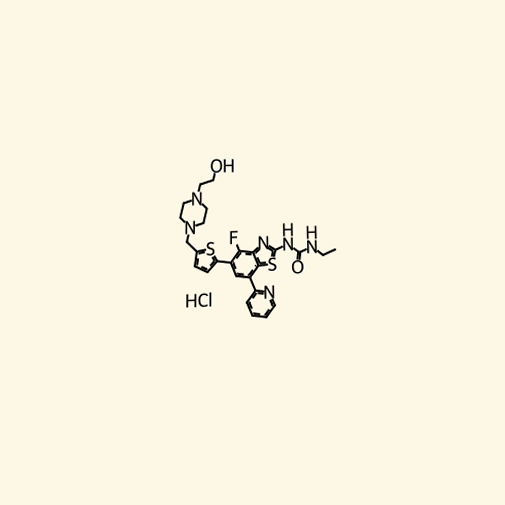 CCNC(=O)Nc1nc2c(F)c(-c3ccc(CN4CCN(CCO)CC4)s3)cc(-c3ccccn3)c2s1.Cl